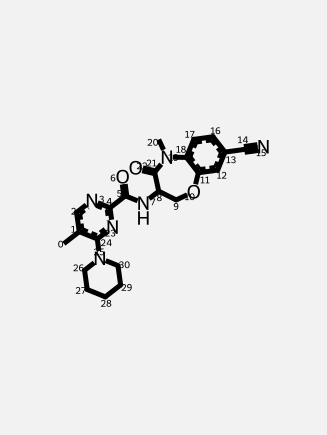 Cc1cnc(C(=O)NC2COc3cc(C#N)ccc3N(C)C2=O)nc1N1CCCCC1